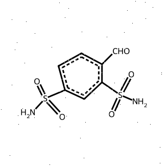 NS(=O)(=O)c1ccc(C=O)c(S(N)(=O)=O)c1